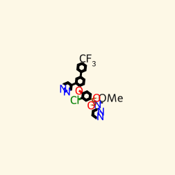 COCN(c1cccnn1)S(=O)(=O)c1ccc(Oc2ccc(-c3ccc(C(F)(F)F)cc3)cc2-c2ccnnc2)c(Cl)c1